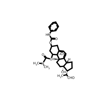 CC(C=O)[C@H]1CC[C@H]2C3=CC=C4CC(OC(=O)Nc5ccccc5)CC(OC(=O)N(C)C)[C@]4(C)[C@H]3CC[C@]12C